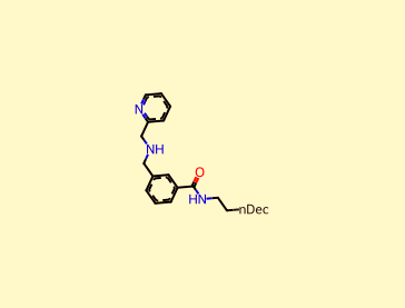 CCCCCCCCCCCCNC(=O)c1cccc(CNCc2ccccn2)c1